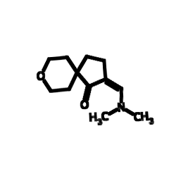 CN(C)C=C1CCC2(CCOCC2)C1=O